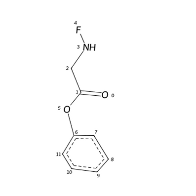 O=C(CNF)Oc1ccccc1